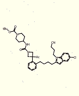 CC(=O)C1(c2ccccc2CCCCc2cc3cc(Cl)ccc3n2CCCC#N)CN(C(=O)NC2CCN(C(=O)OC(C)(C)C)CC2)C1